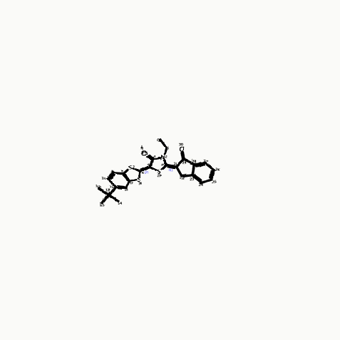 CCn1c(=O)/c(=C2\Sc3ccc(C(C)(C)C)cc3S2)s/c1=C1\Cc2ccccc2C1=O